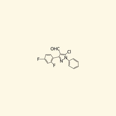 O=Cc1c(-c2ccc(F)cc2F)nn(-c2ccccc2)c1Cl